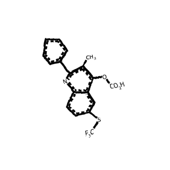 Cc1c(-c2ccccc2)nc2ccc(SC(F)(F)F)cc2c1OC(=O)O